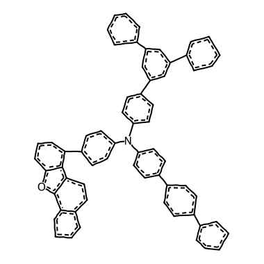 c1ccc(-c2ccc(-c3ccc(N(c4ccc(-c5cc(-c6ccccc6)cc(-c6ccccc6)c5)cc4)c4ccc(-c5cccc6oc7c8ccccc8ccc7c56)cc4)cc3)cc2)cc1